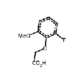 COc1cccc(F)c1OCC(=O)O